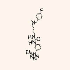 CCn1nnnc1-c1cccc(NC(=O)NCCCCN(C)Cc2ccc(F)cc2)c1